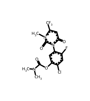 CN(C)C(=O)Oc1cc(-n2c(=O)cc(C(F)(F)F)n(C)c2=O)c(F)cc1Cl